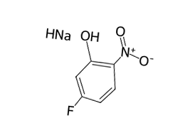 O=[N+]([O-])c1ccc(F)cc1O.[NaH]